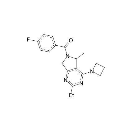 CCc1nc2c(c(N3CCC3)n1)C(C)N(C(=O)c1ccc(F)cc1)C2